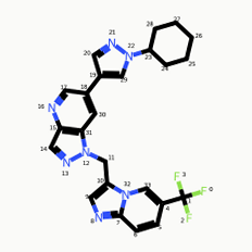 FC(F)(F)c1ccc2ncc(Cn3ncc4ncc(-c5cnn(C6CCCCC6)c5)cc43)n2c1